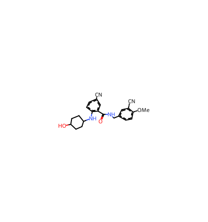 COc1ccc(CNC(=O)c2cc(C#N)ccc2NC2CCC(O)CC2)cc1C#N